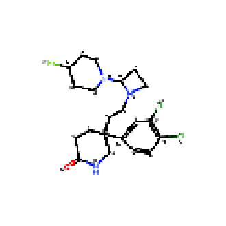 O=C1CCC(CCN2CCC2N2CCC(F)CC2)(c2ccc(Cl)c(Cl)c2)CN1